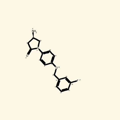 N[C@@H]1CC(=O)N(c2ccc(OCc3cccc(F)c3)cc2)C1